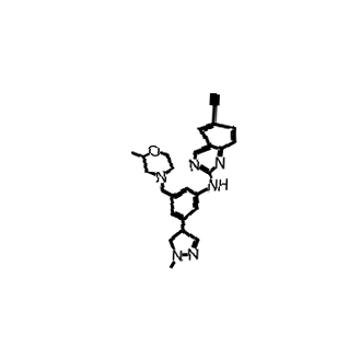 C#Cc1ccc2nc(Nc3cc(CN4CCOC(C)C4)cc(C4C=NN(C)C4)c3)ncc2c1